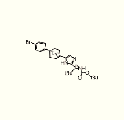 CC(C)(C)OC(=O)N[C@H](c1ncc(C23CCC(c4ccc(Br)cc4)(CC2)CC3)[nH]1)C(C)(C)C